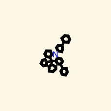 c1ccc(-c2ccc(N3c4ccccc4C(c4ccccc4)(c4ccccc4)c4cc(-c5ccccc5)ccc43)cc2)cc1